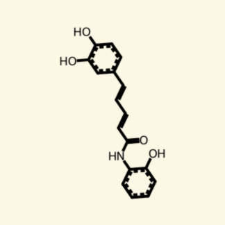 O=C(/C=C/C=C/c1ccc(O)c(O)c1)Nc1ccccc1O